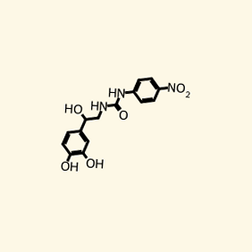 O=C(NCC(O)c1ccc(O)c(O)c1)Nc1ccc([N+](=O)[O-])cc1